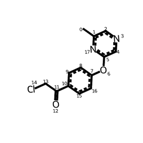 Cc1cncc(Oc2ccc(C(=O)CCl)cc2)n1